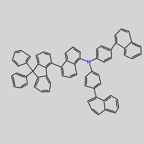 c1ccc(C2(c3ccccc3)c3ccccc3-c3c(-c4cccc5c(N(c6ccc(-c7cccc8ccccc78)cc6)c6ccc(-c7cccc8ccccc78)cc6)cccc45)cccc32)cc1